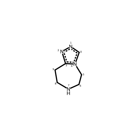 c1nnc2n1CCNCC2